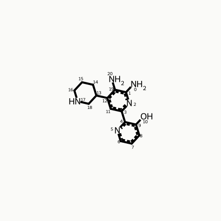 Nc1nc(-c2ncccc2O)cc(C2CCCNC2)c1N